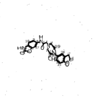 C[C@@H]1CN(CC(=O)Nc2ccc3[nH]c(=O)oc3c2)CCN1c1ccc2c(c1)CCO2